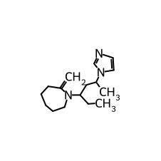 C=C1CCCCCN1C(CC)CC(C)n1ccnc1